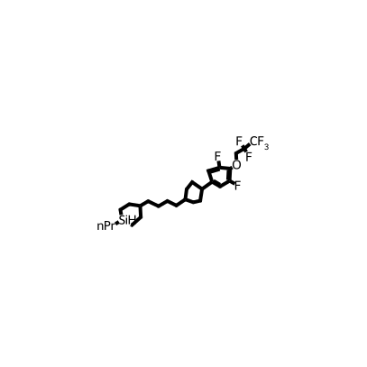 CCC[SiH]1CCC(CCCCC2CCC(c3cc(F)c(OCC(F)(F)C(F)(F)F)c(F)c3)CC2)CC1